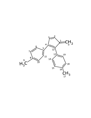 C=C1C=CC(c2ccc(C)cc2)=C1c1ccc(C)cc1